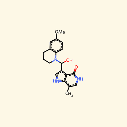 COc1ccc2c(c1)CCCN2C(O)c1c[nH]c2c(C)c[nH]c(=O)c12